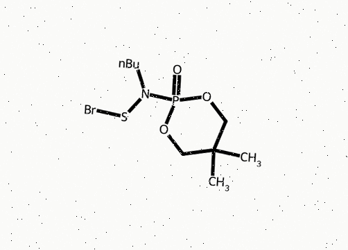 CCCCN(SBr)P1(=O)OCC(C)(C)CO1